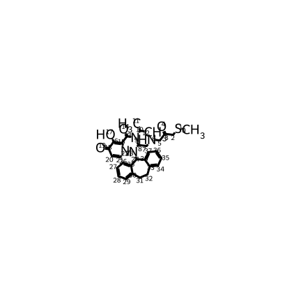 CSCC(=O)CNCC1N(C(C)C)C(=O)c2c(O)c(=O)ccn2N1C1c2ccccc2CCc2ccccc21